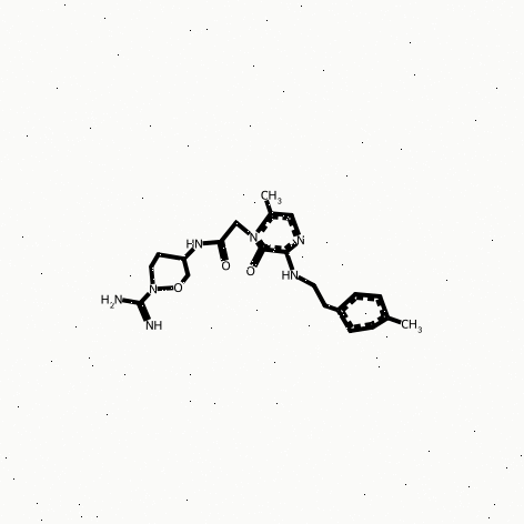 Cc1ccc(CCNc2ncc(C)n(CC(=O)NC3CCN(C(=N)N)OC3)c2=O)cc1